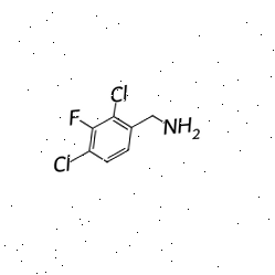 NCc1ccc(Cl)c(F)c1Cl